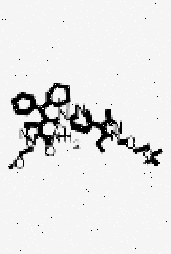 CCc1c(-c2ccc(NC(=O)C(c3cnn(CCOC)c3C(N)=O)C(C3CCCCC3)C3CCCCC3)nc2)c(C)nn1COCC[Si](C)(C)C